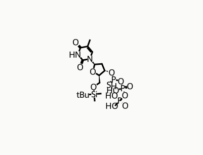 Cc1cn([C@H]2C[C@H](O[PH](=S)OP(=O)(O)OP(=O)(O)O)[C@@H](CO[Si](C)(C)C(C)(C)C)O2)c(=O)[nH]c1=O